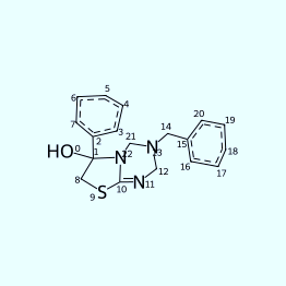 OC1(c2ccccc2)CSC2=NCN(Cc3ccccc3)CN21